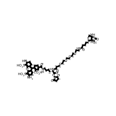 CCN1C(=O)N[C@H]2CS[C@@H](CCCCC(=O)NCCOCCOCCOCCOCCC(=O)N[C@@H](CCCCNC(=O)c3ccc(-c4c5ccc(=N)c(S(=O)(=O)O)c-5oc5c(S(=O)(=O)O)c(N)ccc45)c(C(=O)O)c3)C(=O)ON3C(=O)CCC3=O)[C@H]21